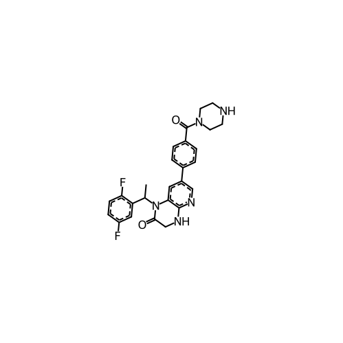 CC(c1cc(F)ccc1F)N1C(=O)CNc2ncc(-c3ccc(C(=O)N4CCNCC4)cc3)cc21